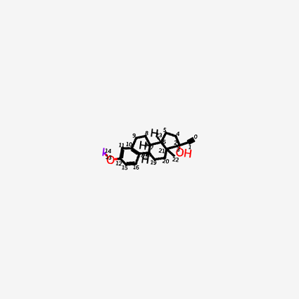 C#C[C@]1(O)CC[C@H]2[C@@H]3CCc4cc(OI)ccc4[C@H]3CCC21C